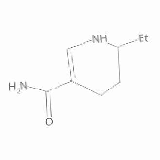 CCC1CCC(C(N)=O)=CN1